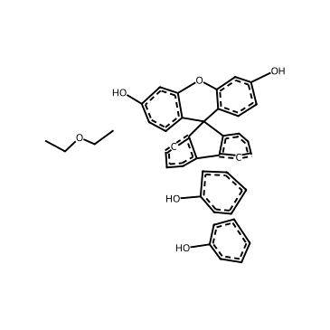 CCOCC.Oc1ccc2c(c1)Oc1cc(O)ccc1C21c2ccccc2-c2ccccc21.Oc1ccccc1.Oc1ccccc1